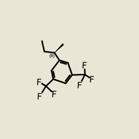 CC[C@@H](C)c1cc(C(F)(F)F)cc(C(F)(F)F)c1